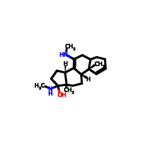 CNC1=C2[C@@H](CC[C@@]3(C)[C@H]2CCC3(O)NC)[C@@]2(C)C=CCCC2C1